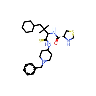 CC(C)(CC1CCCCC1)[C@@H](NC(=O)[C@@H]1CSCN1)C(=S)NC1CCN(Cc2ccccc2)CC1